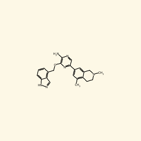 Cc1cc(-c2cnc(N)c(OCc3cccc4[nH]ncc34)n2)cc2c1CCN(C)C2